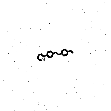 C=Cc1ccc(CCc2ccc(-c3ccccn3)cc2)cc1